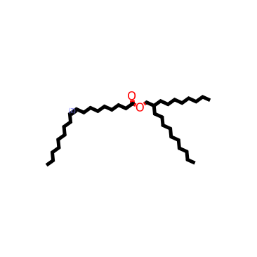 CCCCCCCC/C=C\CCCCCCCC(=O)OCC(CCCCCCCC)CCCCCCCCCC